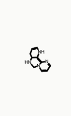 C1=CN2CNC3CC=CNC3=C2N=C1